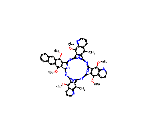 CCCCOc1c2c(c(OCCCC)c3cc4ccccc4cc13)-c1nc-2nc2[nH]c(nc3nc(nc4[nH]c(n1)c1c(OCCCC)c5ncccc5c(C)c41)-c1c-3c(OCCCC)c3cccnc3c1OCCCC)c1c(C)c3ncccc3c(OCCCC)c21